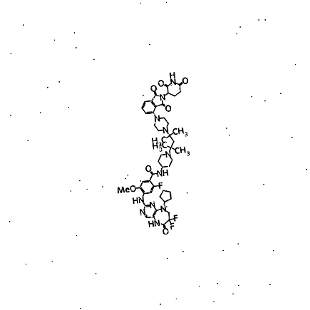 COc1cc(C(=O)NC2CCN(C(C)(C)CC(C)(C)N3CCN(c4cccc5c4C(=O)N(C4CCC(=O)NC4=O)C5=O)CC3)CC2)c(F)cc1Nc1ncc2c(n1)N(C1CCCC1)CC(F)(F)C(=O)N2